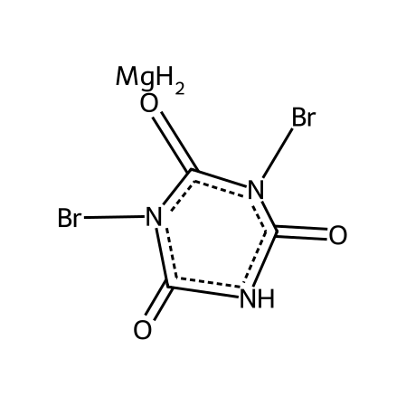 O=c1[nH]c(=O)n(Br)c(=O)n1Br.[MgH2]